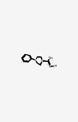 N#C/N=C(\S)N1CCN(c2ccccc2)CC1